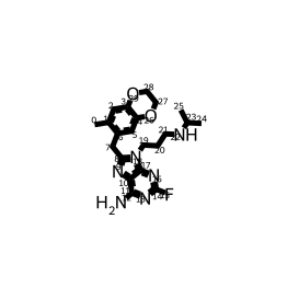 Cc1cc2c(cc1Cc1nc3c(N)nc(F)nc3n1CCCNC(C)C)OCCO2